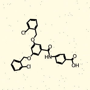 O=C(O)c1ccc(NC(=O)c2cc(OCc3ccccc3Cl)cc(OCc3ccccc3Cl)c2)cc1